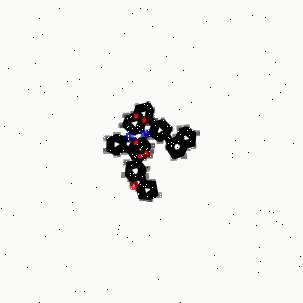 c1ccc(-c2ccc(-c3cccc4ccccc34)cc2N(c2ccc(-c3ccc4oc5ccccc5c4c3)cc2)c2ccccc2-n2c3ccccc3c3ccccc32)cc1